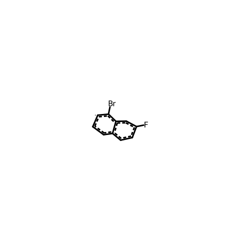 Fc1ccc2cc[c]c(Br)c2c1